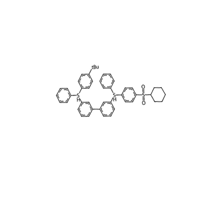 CC(C)(C)c1ccc([SH](c2ccccc2)c2cccc(-c3cccc([SH](c4ccccc4)c4ccc(S(=O)(=O)C5CCCCC5)cc4)c3)c2)cc1